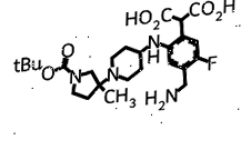 CC(C)(C)OC(=O)N1CCC(C)(N2CCC(Nc3cc(CN)c(F)cc3C(C(=O)O)C(=O)O)CC2)C1